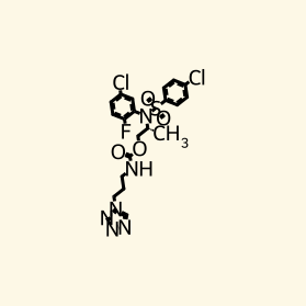 C[C@H](COC(=O)NCCCn1cnnn1)N(c1cc(Cl)ccc1F)S(=O)(=O)c1ccc(Cl)cc1